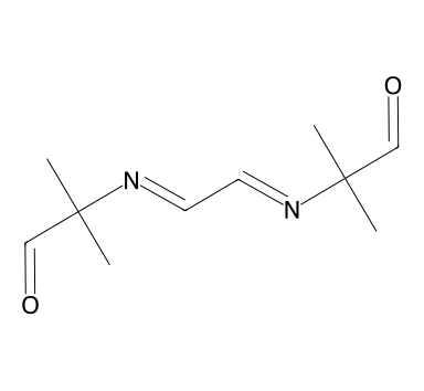 CC(C)(C=O)N=CC=NC(C)(C)C=O